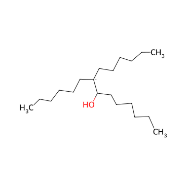 CCCCCC[C](CCCCCC)C(O)CCCCCC